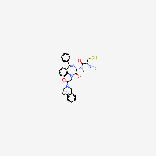 CN(C(=O)C(N)CS)C1N=C(c2ccccc2)c2ccccc2N(CC(=O)N(CC(=O)O)Cc2ccccc2)C1=O